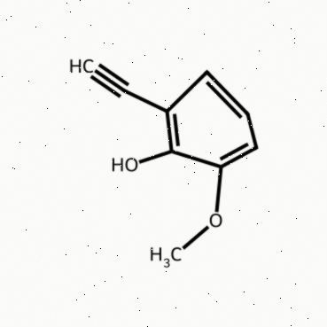 C#Cc1cccc(OC)c1O